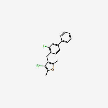 Cc1sc(C)c(Cc2ccc(-c3ccccc3)cc2F)c1Br